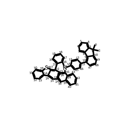 CC1(C)c2ccccc2-c2c(-c3ccc(N(c4ccccc4-c4cccc5c4sc4ccccc45)c4cccc5ccccc45)cc3)cccc21